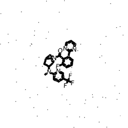 CN(c1ccc(C(F)(F)F)cn1)C1CC2CC1N(C(=O)c1c(F)cccc1-c1ncccn1)C2